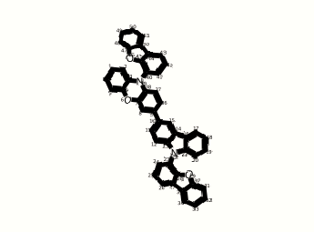 c1ccc2c(c1)Oc1cc(-c3ccc4c(c3)c3ccccc3n4-c3cccc4c3oc3ccccc34)ccc1N2c1cccc2c1oc1ccccc12